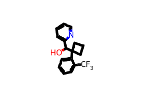 OC(c1ccccn1)C1(c2ccccc2C(F)(F)F)CCC1